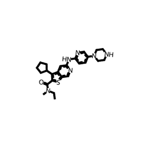 CCN(C)C(=O)c1sc2cnc(Nc3ccc(N4CCNCC4)cn3)cc2c1C1CCCC1